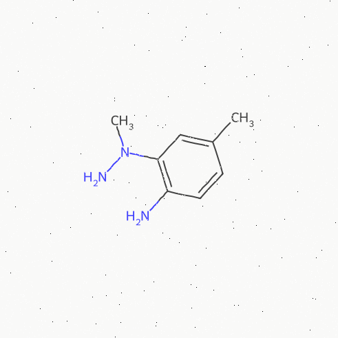 Cc1ccc(N)c(N(C)N)c1